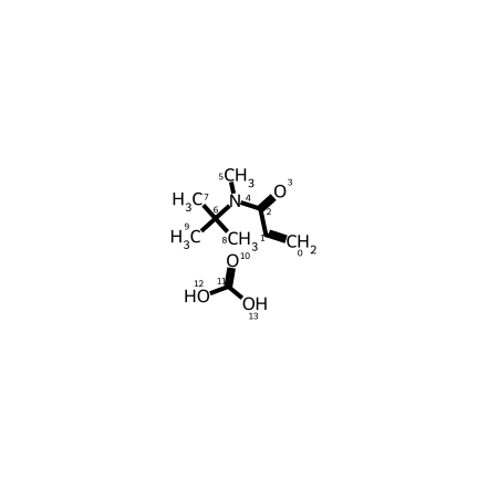 C=CC(=O)N(C)C(C)(C)C.O=C(O)O